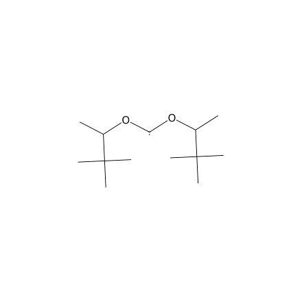 CC(O[CH]OC(C)C(C)(C)C)C(C)(C)C